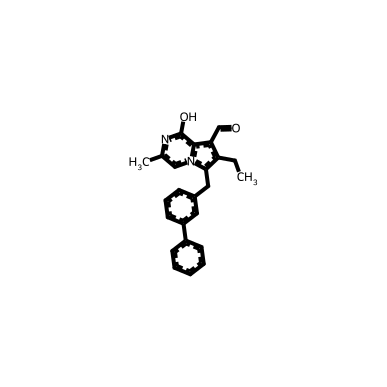 CCc1c(C=O)c2c(O)nc(C)cn2c1Cc1cccc(-c2ccccc2)c1